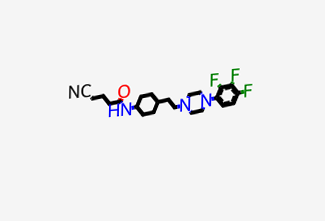 N#CCCCC(=O)NC1CCC(CCN2CCN(c3ccc(F)c(F)c3F)CC2)CC1